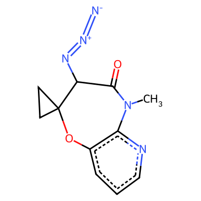 CN1C(=O)C(N=[N+]=[N-])C2(CC2)Oc2cccnc21